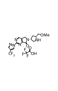 COC[C@@H]1C[C@@H](N2Cc3cnc(-n4cc(C(F)(F)F)cn4)nc3C2=O)CN1.O=C(O)C(F)(F)F